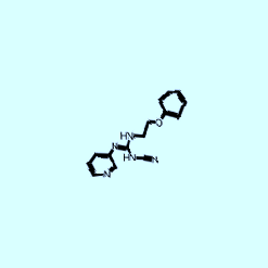 N#CNC(=Nc1cccnc1)NCCOc1ccccc1